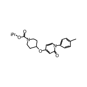 Cc1ccc(-n2ccc(OC3CCN(C(=O)OC(C)C)CC3)cc2=O)cc1